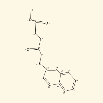 COC(=O)CCC(=O)CSc1ccc2ccccc2c1